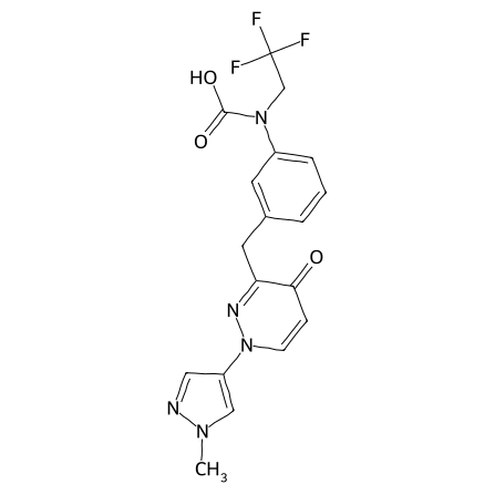 Cn1cc(-n2ccc(=O)c(Cc3cccc(N(CC(F)(F)F)C(=O)O)c3)n2)cn1